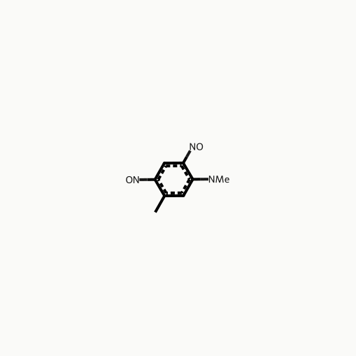 CNc1cc(C)c(N=O)cc1N=O